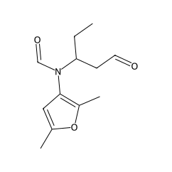 CCC(CC=O)N(C=O)c1cc(C)oc1C